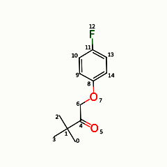 CC(C)(C)C(=O)COc1ccc(F)cc1